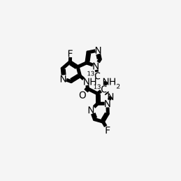 [13CH3]n1cncc1-c1c(F)cncc1NC(=O)c1c2ncc(F)cn2n[13c]1N